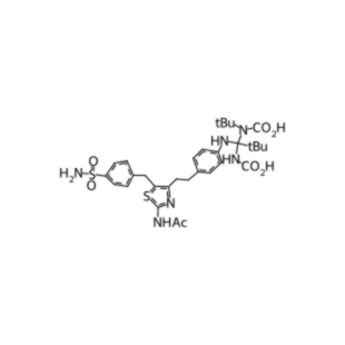 CC(=O)Nc1nc(CCc2ccc(NC(NC(=O)O)(N(C(=O)O)C(C)(C)C)C(C)(C)C)cc2)c(Cc2ccc(S(N)(=O)=O)cc2)s1